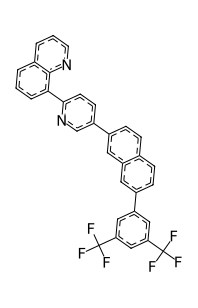 FC(F)(F)c1cc(-c2ccc3ccc(-c4ccc(-c5cccc6cccnc56)nc4)cc3c2)cc(C(F)(F)F)c1